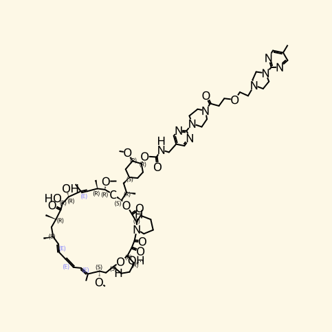 CO[C@H]1C[C@@H]2CC[C@@H](C)[C@@](O)(O2)C(=O)C(=O)N2CCCC[C@H]2C(=O)O[C@H]([C@H](C)C[C@@H]2CC[C@@H](OC(=O)NCc3cnc(N4CCN(C(=O)CCOCCN5CCN(c6ncc(C)cn6)CC5)CC4)nc3)[C@H](OC)C2)C[C@@H](OC)[C@H](C)/C=C(\C)[C@@H](O)[C@@H](O)C(=O)[C@H](C)C[C@H](C)/C=C/C=C/C=C/1C